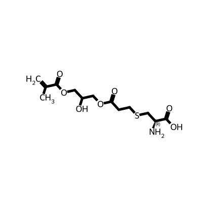 C=C(C)C(=O)OCC(O)COC(=O)CCSC[C@H](N)C(=O)O